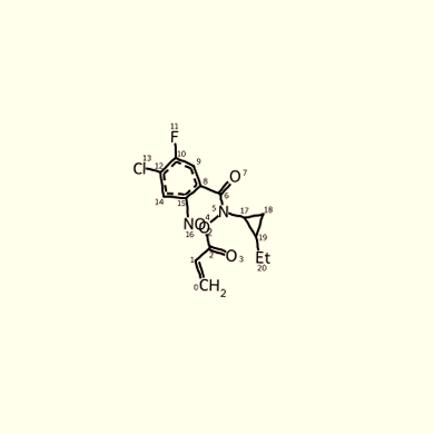 C=CC(=O)ON(C(=O)c1cc(F)c(Cl)cc1[N+](=O)[O-])C1CC1CC